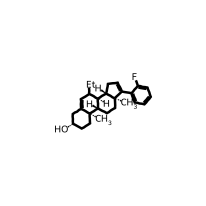 CCC1C=C2C[C@@H](O)CC[C@]2(C)[C@H]2CC[C@]3(C)C(c4ccccc4F)=CC[C@H]3[C@H]12